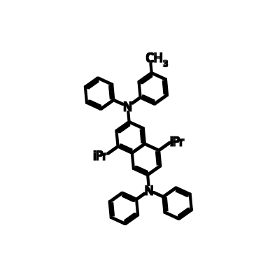 Cc1cccc(N(c2ccccc2)c2cc(C(C)C)c3cc(N(c4ccccc4)c4ccccc4)cc(C(C)C)c3c2)c1